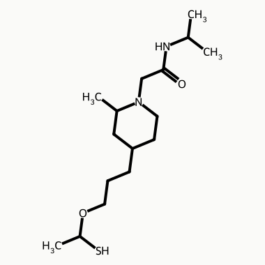 CC(C)NC(=O)CN1CCC(CCCOC(C)S)CC1C